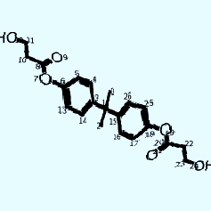 CC(C)(c1ccc(OC(=O)CCO)cc1)c1ccc(OC(=O)CCO)cc1